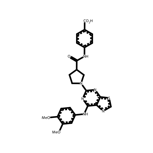 COc1ccc(Nc2nc(N3CCC(C(=O)Nc4ccc(C(=O)O)cc4)C3)nc3scnc23)cc1OC